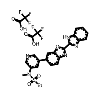 CCS(=O)(=O)N(C)c1cncc(-c2ccc3nc(-c4nc5ccccc5[nH]4)oc3c2)c1.O=C(O)C(F)(F)F.O=C(O)C(F)(F)F